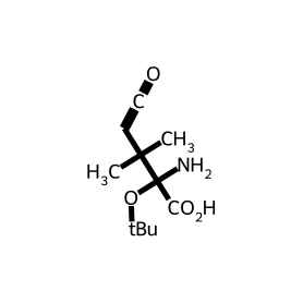 CC(C)(C)OC(N)(C(=O)O)C(C)(C)C=C=O